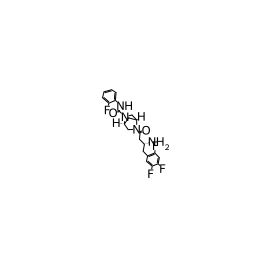 N[C@@H](CC(=O)N1C[C@@H]2C[C@H]1CN2C(=O)Nc1ccccc1F)Cc1cc(F)c(F)cc1F